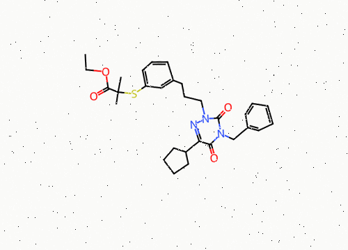 CCOC(=O)C(C)(C)Sc1cccc(CCCn2nc(C3CCCC3)c(=O)n(Cc3ccccc3)c2=O)c1